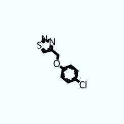 Clc1ccc(OCc2csnn2)cc1